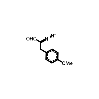 COc1ccc(CC(C=O)=[N+]=[N-])cc1